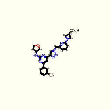 N#Cc1cccc(-c2cc(-c3cn(Cc4cccc(N5CC(C(=O)O)C5)n4)nn3)nc(N[C@H]3CCOC3)n2)c1